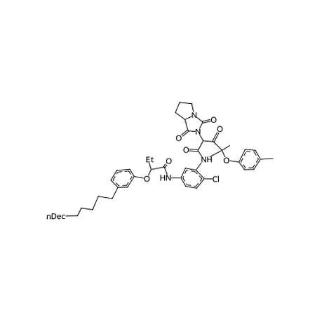 CCCCCCCCCCCCCCCc1cccc(OC(CC)C(=O)Nc2ccc(Cl)c(NC(=O)C(C(=O)C(C)(C)Oc3ccc(C)cc3)N3C(=O)C4CCCN4C3=O)c2)c1